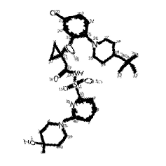 CC1(O)CCN(c2cccc(S(=O)(=O)NC(=O)C3(Oc4cc(Cl)ccc4N4CCC(C(C)(C)C)CC4)CC3)n2)CC1